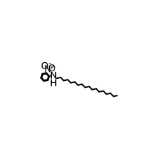 CCCCCCCCCCCCCCCCCCNc1ccccc1[N+](=O)[O-]